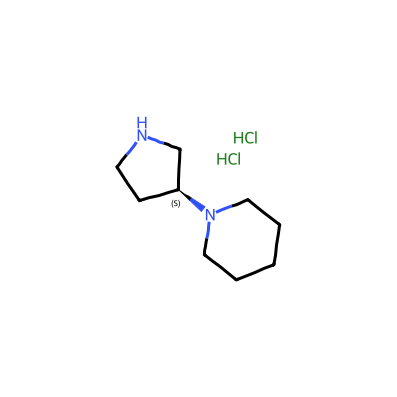 C1CCN([C@H]2CCNC2)CC1.Cl.Cl